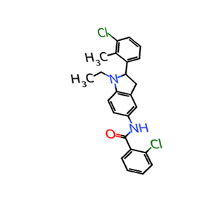 CCN1c2ccc(NC(=O)c3ccccc3Cl)cc2CC1c1cccc(Cl)c1C